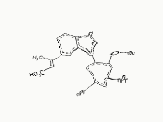 CCCCOc1c(CCC)cc(CCC)cc1-c1c[nH]c2ccc(C(C)=CC(=O)O)cc12